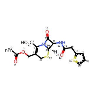 CCCC(=O)OCC1=C(C(=O)O)N2C(=O)C(NC(=O)Cc3cccs3)[C@H]2SC1